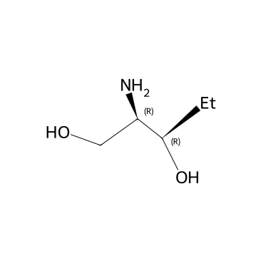 CC[C@@H](O)[C@H](N)CO